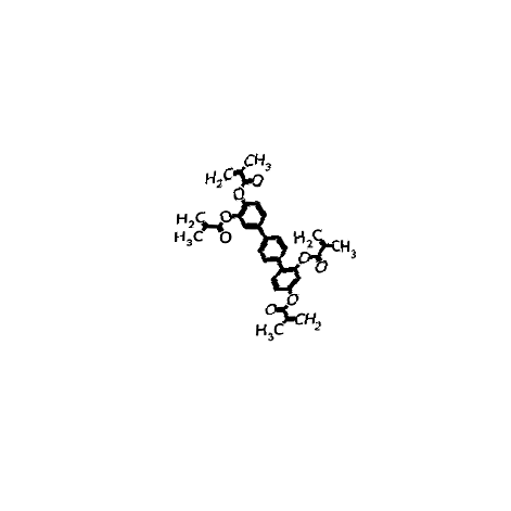 C=C(C)C(=O)Oc1ccc(-c2ccc(-c3ccc(OC(=O)C(=C)C)c(OC(=O)C(=C)C)c3)cc2)c(OC(=O)C(=C)C)c1